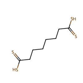 S=C(S)CCCCCCC(=S)S